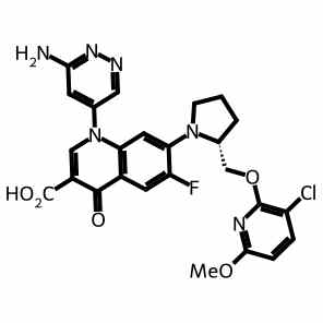 COc1ccc(Cl)c(OC[C@H]2CCCN2c2cc3c(cc2F)c(=O)c(C(=O)O)cn3-c2cnnc(N)c2)n1